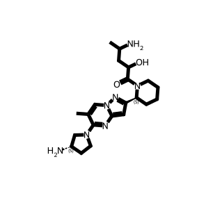 Cc1cn2nc([C@@H]3CCCCN3C(=O)C(O)CC(C)N)cc2nc1N1CC[C@H](N)C1